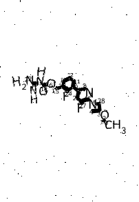 CCOC1CN(c2ncc(-c3cccc(COC(=O)NC(=N)N)c3F)cc2F)C1